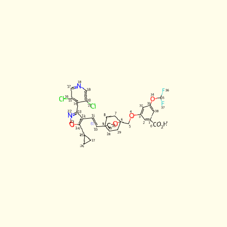 O=C(O)c1cc(OCC23CCC(/C=C/c4c(-c5c(Cl)cncc5Cl)noc4C4CC4)(CC2)CO3)cc(OC(F)F)c1